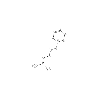 CC(C)=CCOC[C@@H]1CC=CCC1